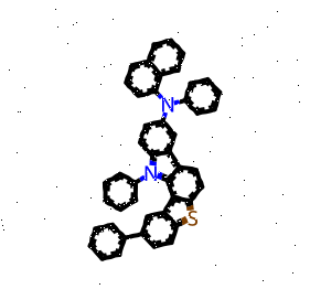 c1ccc(-c2ccc3sc4ccc5c6cc(N(c7ccccc7)c7cccc8ccccc78)ccc6n(-c6ccccc6)c5c4c3c2)cc1